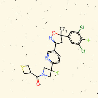 O=C(C1CSC1)N1CC(F)(c2ccc(C3=NOC(c4cc(Cl)c(F)c(Cl)c4)(C(F)(F)F)C3)cn2)C1